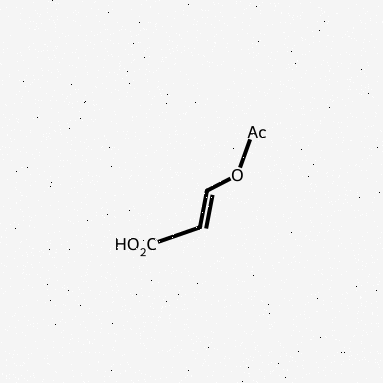 CC(=O)OC=CC(=O)O